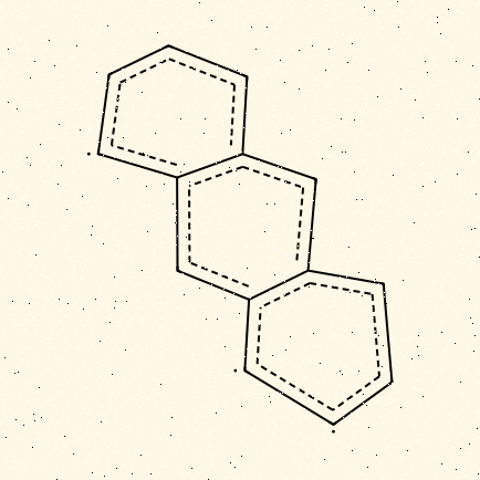 [c]1[c]c2cc3[c]cccc3cc2cc1